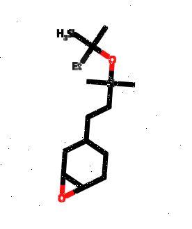 CCC(C)([SiH3])O[Si](C)(C)CCC1CCC2OC2C1